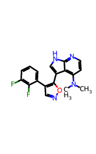 CN(C)c1ccnc2[nH]cc(-c3oncc3-c3cccc(F)c3F)c12